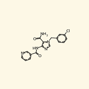 NC(=O)c1c(NC(=O)c2cccnc2)ncn1Cc1cccc(Cl)c1